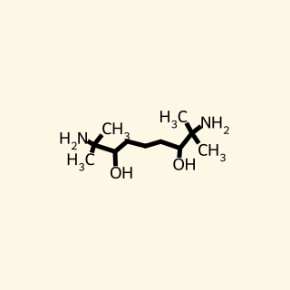 CC(C)(N)C(O)CCCC(O)C(C)(C)N